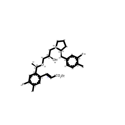 CCOC(=O)/C=C/c1cc(C)c(F)cc1[C@@H](C)OC[C@H](O)CN1CCC[C@H]1Cc1ccc(C)c(F)c1